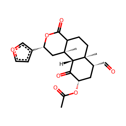 CC(=O)O[C@H]1C[C@@H](C=O)[C@]2(C)CCC3C(=O)O[C@@H](c4ccoc4)C[C@]3(C)[C@H]2C1=O